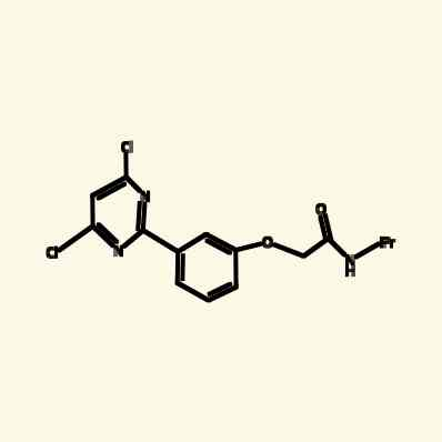 CC(C)NC(=O)COc1cccc(-c2nc(Cl)cc(Cl)n2)c1